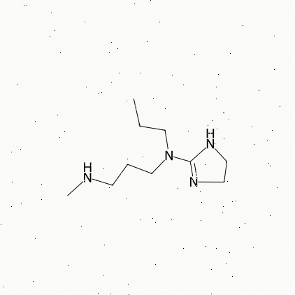 CCCN(CCCNC)C1=NCCN1